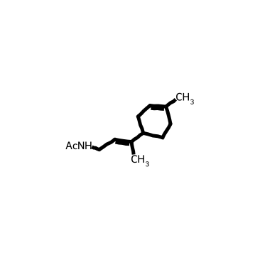 CC(=O)NC/C=C(\C)C1CC=C(C)CC1